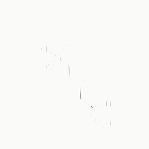 C=C(CCCC[Si](Cl)(Cl)Cl)C(=O)O